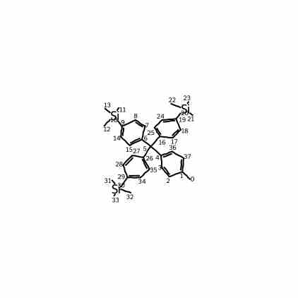 Cc1ccc(C(c2ccc([Si](C)(C)C)cc2)(c2ccc([Si](C)(C)C)cc2)c2ccc([Si](C)(C)C)cc2)cc1